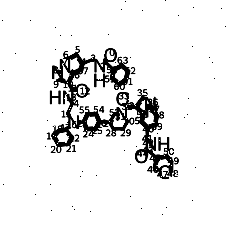 O=C(NCc1ccn2ncc(C(=O)NCCN(c3ccccc3)c3ccc(C4CCCN(C(=O)c5cnn6ccc(CNC(=O)c7ccccc7)cc56)C4)cc3)c2c1)c1ccccc1